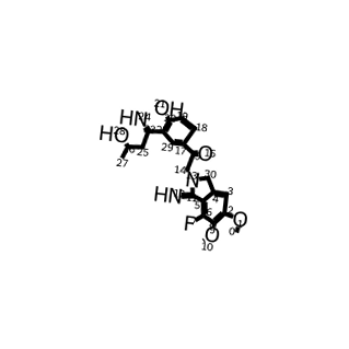 COc1cc2c(c(F)c1OC)C(=N)N(CC(=O)c1ccc(O)c(C(=N)CC(C)O)c1)C2